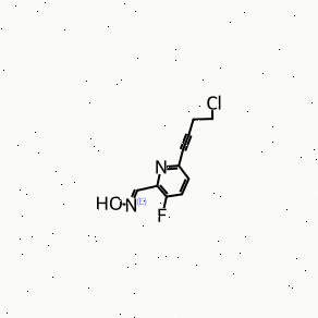 O/N=C/c1nc(C#CCCCl)ccc1F